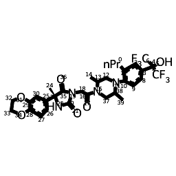 CCCc1cc(C(O)(C(F)(F)F)C(F)(F)F)ccc1N1CC(C)N(C(=O)CN2C(=O)N[C@](C)(c3ccc4c(c3)OCCO4)C2=O)CC1C